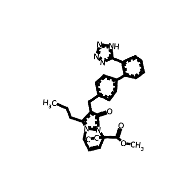 CCCc1c(Cc2ccc(-c3ccccc3-c3nnn[nH]3)cc2)c(=O)n2n1C1C=CC2(C(=O)OC)CC1